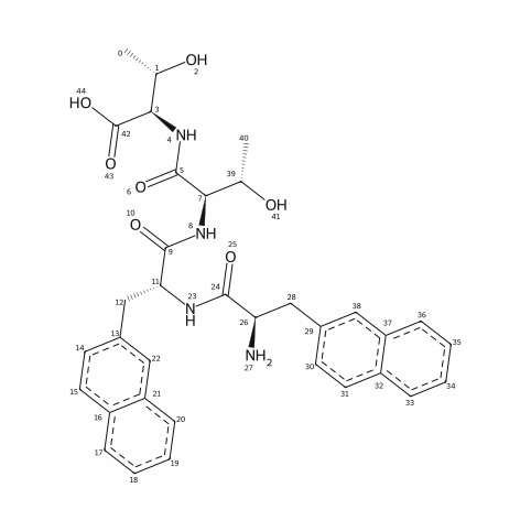 C[C@H](O)[C@@H](NC(=O)[C@H](NC(=O)[C@@H](Cc1ccc2ccccc2c1)NC(=O)[C@H](N)Cc1ccc2ccccc2c1)[C@H](C)O)C(=O)O